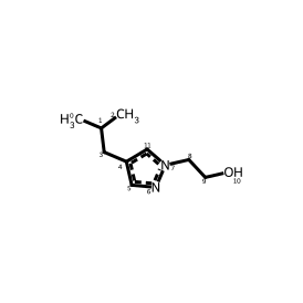 CC(C)Cc1cnn(CCO)c1